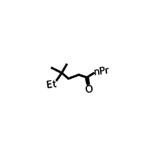 CCCC(=O)CCC(C)(C)CC